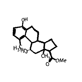 COC(=O)C1CCC2C3CCc4c(O)ccc(C)c4C3[C@@H](O)CC12C